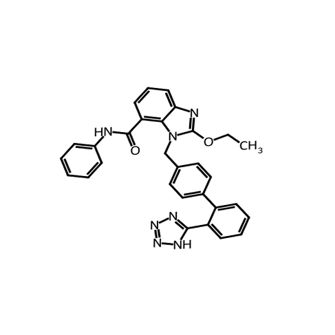 CCOc1nc2cccc(C(=O)Nc3ccccc3)c2n1Cc1ccc(-c2ccccc2-c2nnn[nH]2)cc1